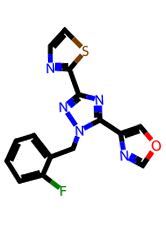 Fc1ccccc1Cn1nc(-c2nccs2)nc1-c1cocn1